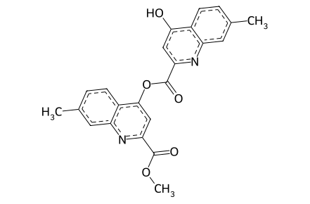 COC(=O)c1cc(OC(=O)c2cc(O)c3ccc(C)cc3n2)c2ccc(C)cc2n1